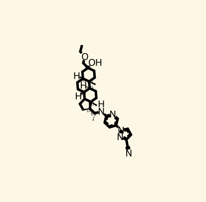 CCOC[C@@]1(O)CC[C@@]2(C)[C@H](CC[C@H]3C4CC[C@H]([C@@H](C)Nc5ccc(-n6ccc(C#N)n6)cn5)[C@@]4(C)CC[C@@H]32)C1